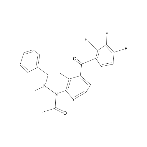 CC(=O)N(c1[c]ccc(C(=O)c2ccc(F)c(F)c2F)c1C)N(C)Cc1ccccc1